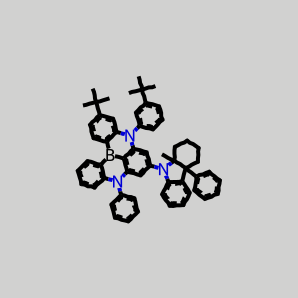 CC(C)(C)c1cccc(N2c3cc(C(C)(C)C)ccc3B3c4ccccc4N(c4ccccc4)c4cc(N5c6ccccc6C6(c7ccccc7)CCCCC56C)cc2c43)c1